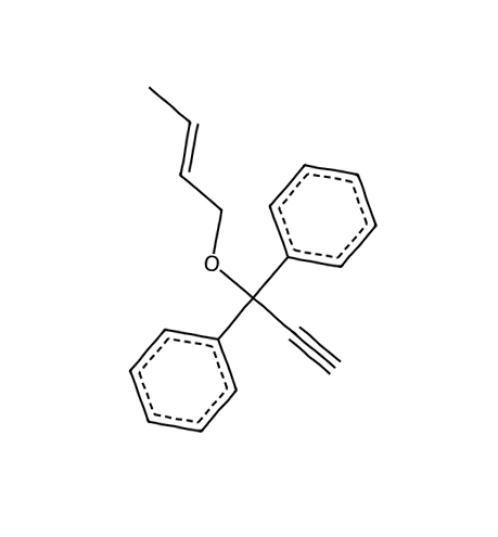 C#CC(OC/C=C/C)(c1ccccc1)c1ccccc1